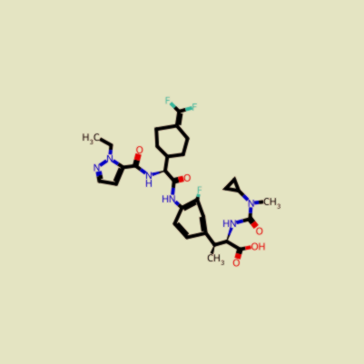 CCn1nccc1C(=O)N[C@H](C(=O)Nc1ccc([C@H](C)[C@@H](NC(=O)N(C)C2CC2)C(=O)O)cc1F)C1CCC(=C(F)F)CC1